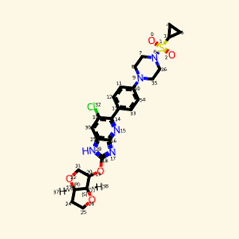 O=S(=O)(C1CC1)N1CCN(c2ccc(-c3nc4nc(OC5CO[C@@H]6CCO[C@H]56)[nH]c4cc3Cl)cc2)CC1